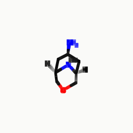 CCC(C)N1[C@@H]2COC[C@H]1C[C@@H](N)C2